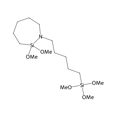 CO[Si](CCCCCN1CCCCC[Si]1(OC)OC)(OC)OC